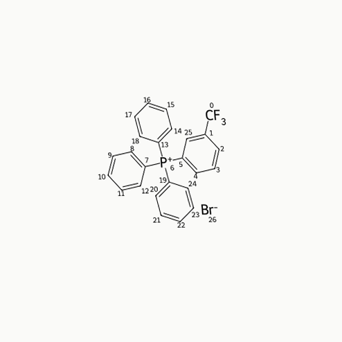 FC(F)(F)c1cccc([P+](c2ccccc2)(c2ccccc2)c2ccccc2)c1.[Br-]